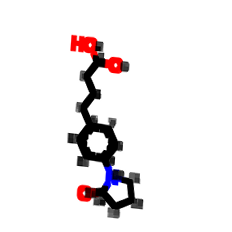 O=C(O)CCCc1ccc(N2CCCC2=O)cc1